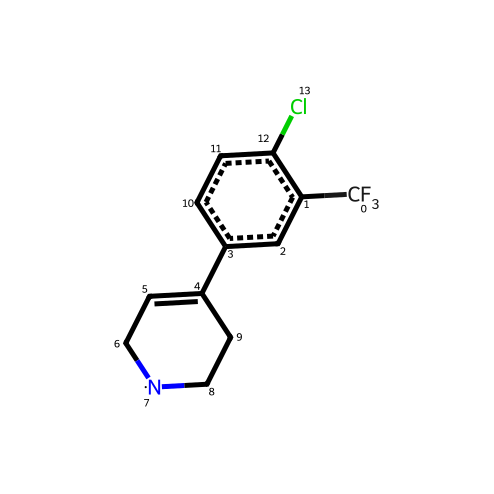 FC(F)(F)c1cc(C2=CC[N]CC2)ccc1Cl